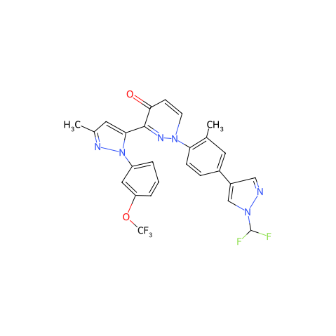 Cc1cc(-c2nn(-c3ccc(-c4cnn(C(F)F)c4)cc3C)ccc2=O)n(-c2cccc(OC(F)(F)F)c2)n1